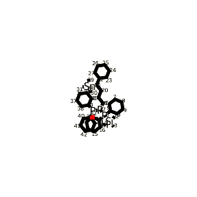 C[Si](C)(C)[PH](C1CCCCC1)(C1CCCCC1)P(CCC[CH](C1CCCCC1)[Sn]([CH3])([CH3])[CH3])P(C1CCCCC1)C1CCCCC1